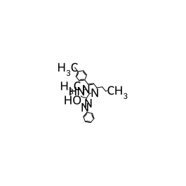 CCCC1=NC2C(N=Nc3ccccc3)C(O)NN2C(c2ccc(C)cc2C)=C1